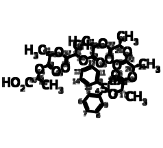 C[C@H](O[Si](c1ccccc1)(c1ccccc1)C(C)(C)C)C(=O)O[C@H](C)C(=O)O[C@H](C)C(=O)O[C@H](C)C(=O)O[C@H](C)C(=O)O[C@H](C)C(=O)O[C@H](C)C(=O)O